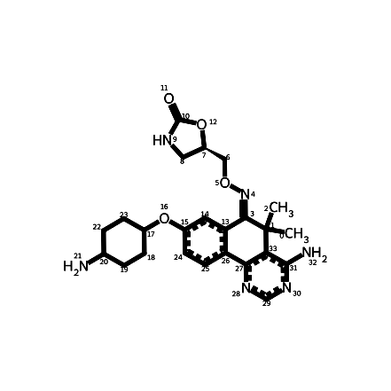 CC1(C)/C(=N/OC[C@H]2CNC(=O)O2)c2cc(OC3CCC(N)CC3)ccc2-c2ncnc(N)c21